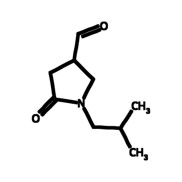 CC(C)CN1CC(C=O)CC1=O